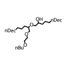 CCCCCCCCCCCCCC(O)COC(CCCCCCCCCCCCC)COCCOCCCC